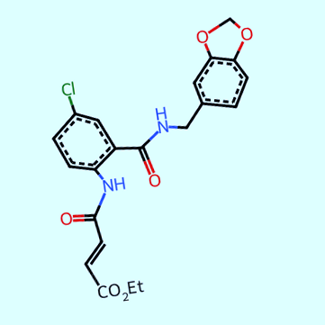 CCOC(=O)C=CC(=O)Nc1ccc(Cl)cc1C(=O)NCc1ccc2c(c1)OCO2